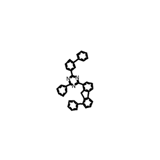 c1ccc(-c2cccc(-c3nc(-c4ccccc4)nc(-c4cccc5c4Cc4c(-c6ccccc6)cccc4-5)n3)c2)cc1